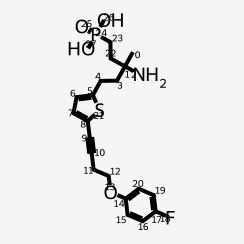 CC(N)(CCc1ccc(C#CCCOc2ccc(F)cc2)s1)CCP(=O)(O)O